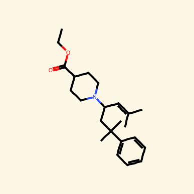 CCOC(=O)C1CCN(C(C=C(C)C)CC(C)(C)c2ccccc2)CC1